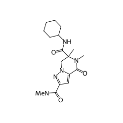 CNC(=O)c1cc2n(n1)CC(C)(C(=O)NC1CCCCC1)N(C)C2=O